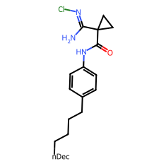 CCCCCCCCCCCCCCc1ccc(NC(=O)C2(/C(N)=N/Cl)CC2)cc1